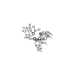 CC(C)[C@H](N)C(=O)O.CC[C@]1(O)C[C@H]2C[N@](CCc3c([nH]c4ccccc34)[C@@](C(=O)OC)(c3cc4c(cc3OC)N(C=O)[C@H]3[C@@](O)(C(=O)OC)[C@H](OC(C)=O)[C@]5(CC)C=CCN6CC[C@]43[C@@H]65)C2)C1.N[C@@H](Cc1ccc(N(CCCl)CCCl)cc1)C(=O)O